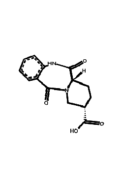 O=C(O)[C@H]1CC[C@H]2C(=O)Nc3ccccc3C(=O)N2C1